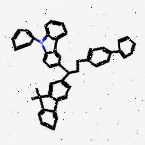 CC1(C)c2ccccc2-c2ccc(C(CCc3ccc(-c4ccccc4)cc3)c3ccc4c(c3)c3ccccc3n4-c3ccccc3)cc21